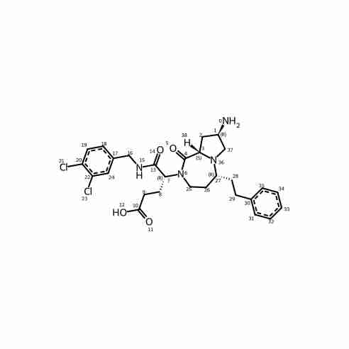 N[C@@H]1C[C@H]2C(=O)N([C@H](CCC(=O)O)C(=O)NCc3ccc(Cl)c(Cl)c3)CC[C@@H](CCc3ccccc3)N2C1